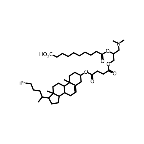 CC(C)CCCC(C)C1CCC2C3CC=C4CC(OC(=O)CCC(=O)OCC(CN(C)C)OC(=O)CCCCCCCCC(=O)O)CCC4(C)C3CCC12C